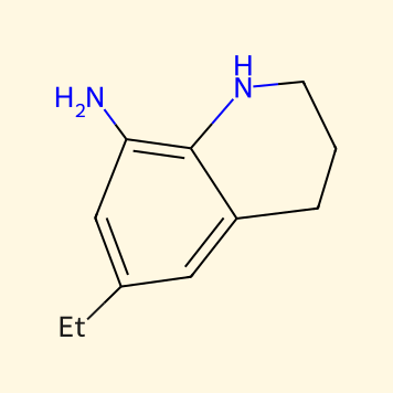 CCc1cc(N)c2c(c1)CCCN2